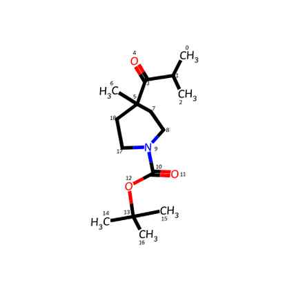 CC(C)C(=O)C1(C)CCN(C(=O)OC(C)(C)C)CC1